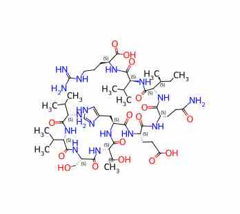 CC[C@H](C)[C@H](NC(=O)[C@H](CCC(N)=O)NC(=O)[C@H](CCC(=O)O)NC(=O)[C@H](Cc1c[nH]cn1)NC(=O)[C@@H](NC(=O)[C@H](CO)NC(=O)[C@@H](NC(=O)[C@@H](N)C(C)C)C(C)C)[C@@H](C)O)C(=O)N[C@H](C(=O)N[C@@H](CCCNC(=N)N)C(=O)O)C(C)C